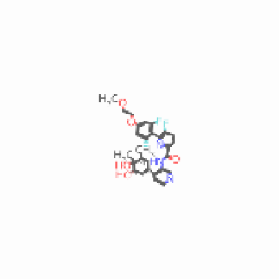 COCCOc1cc(F)c(-c2nc(C(=O)Nc3cnccc3[C@H]3C[C@@H](O)[C@](C)(O)[C@@H](C)C3)ccc2F)c(F)c1